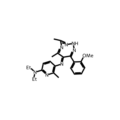 CCN(CC)c1ccc(/N=C2C(c3ccccc3OC)=NN/N=C(C)/N=C/2C)c(C)n1